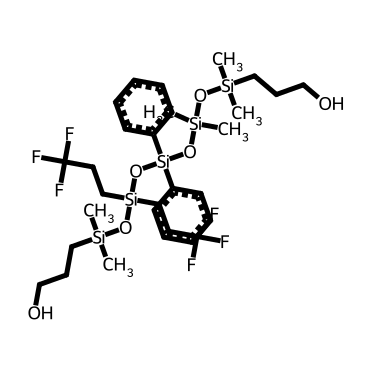 C[Si](C)(CCCO)O[Si](C)(C)O[Si](O[Si](CCC(F)(F)F)(CCC(F)(F)F)O[Si](C)(C)CCCO)(c1ccccc1)c1ccccc1